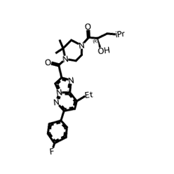 CCc1cc(-c2ccc(F)cc2)nn2cc(C(=O)N3CCN(C(=O)[C@H](O)CC(C)C)CC3(C)C)nc12